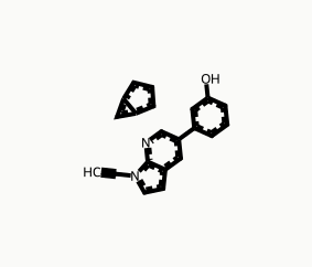 C#Cn1ccc2cc(-c3cccc(O)c3)cnc21.c1cc2cc-2c1